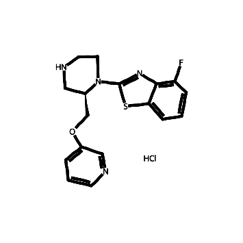 Cl.Fc1cccc2sc(N3CCNC[C@@H]3COc3cccnc3)nc12